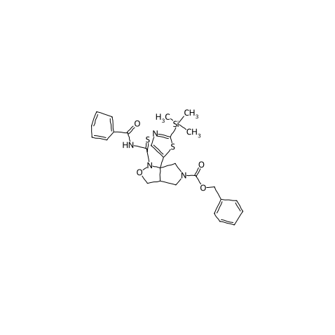 C[Si](C)(C)c1ncc(C23CN(C(=O)OCc4ccccc4)CC2CON3C(=S)NC(=O)c2ccccc2)s1